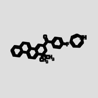 C1=CC=CNC=C1.CC1(C)CC(C(=O)c2ccc(F)cc2)C=c2c1ccc1c2=CCc2ccccc2-1